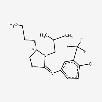 CCCC[C@H]1CSC(=Nc2ccc(Cl)c(C(F)(F)F)c2)N1CC(C)C